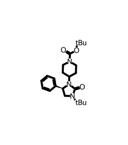 CC(C)(C)OC(=O)N1CCC(N2C(=O)N(C(C)(C)C)C[C@H]2c2ccccc2)CC1